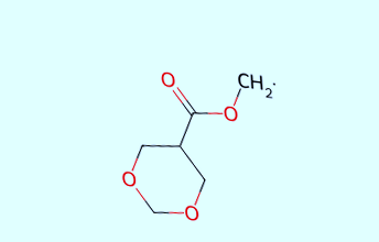 [CH2]OC(=O)C1COCOC1